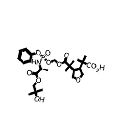 C[C@H](NP(=O)(OCOC(=O)C(C)(C)C1COCC1C(C)(C)C(=O)O)Oc1ccccc1)C(=O)OCC(C)(C)O